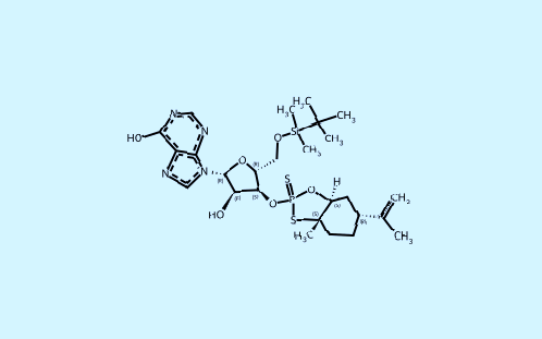 C=C(C)[C@@H]1CC[C@]2(C)SP(=S)(O[C@H]3[C@@H](O)[C@H](n4cnc5c(O)ncnc54)O[C@@H]3CO[Si](C)(C)C(C)(C)C)O[C@H]2C1